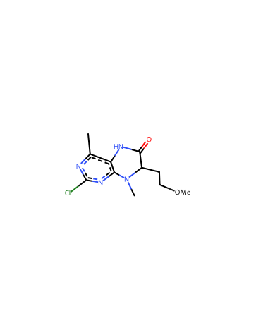 COCCC1C(=O)Nc2c(C)nc(Cl)nc2N1C